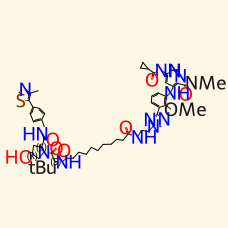 CNC(=O)c1nnc(NC(=O)C2CC2)cc1Nc1cccc(-c2ncn(CCNC(=O)CCCCCCCCCC(=O)N[C@H](C(=O)N3C[C@H](O)C[C@H]3C(=O)NCc3ccc(-c4scnc4C)cc3)C(C)(C)C)n2)c1OC